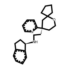 c1ccc([C@]2(CCN[C@@H]3CCc4ccccc43)CCOC3(CCCC3)C2)nc1